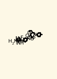 CNc1c(N)ncnc1Oc1ccc(NC(=O)C2=C3OCCC3=CN(c3ccc(C)cc3)SC2=O)cc1F